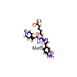 CCC(=O)CCCCC[C@H](NC(=O)[C@H]1CC12CCN(C)CC2)c1ncc(-c2cc3ocnc3cc2OC)o1